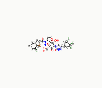 O=C(N[C@@H]1CCO[C@]12O[C@H](CO)[C@H](O)[C@H](n1cc(-c3cc(F)c(F)c(F)c3)nn1)[C@H]2O)c1cc2cccc(Cl)c2s1